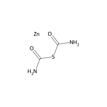 NC(=O)SC(N)=O.[Zn]